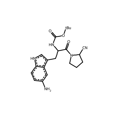 CC(C)(C)OC(=O)NC(Cc1c[nH]c2ccc(N)cc12)C(=O)N1CCCC1C#N